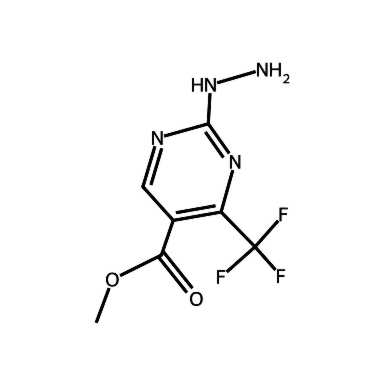 COC(=O)c1cnc(NN)nc1C(F)(F)F